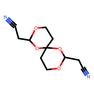 N#CCC1OCCC2(CCOC(CC#N)O2)O1